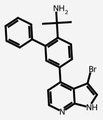 CC(C)(N)c1ccc(-c2ccnc3[nH]cc(Br)c23)cc1-c1ccccc1